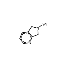 CCCN1Cc2cccnc2C1